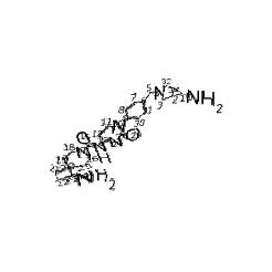 NC1C2CN(Cc3ccc(-n4ccc(NC(=O)N5CCC6(CCC6N)CC5)nc4=O)cc3)CC12